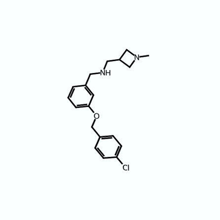 CN1CC(CNCc2cccc(OCc3ccc(Cl)cc3)c2)C1